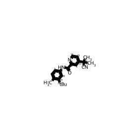 Cc1ccc(NC(=O)c2cc(C(C)(C)C#N)ccn2)cc1C(C)(C)C